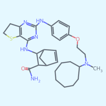 CN(CCOc1ccc(Nc2nc3c(c(NC4C5C=CC(C5)C4C(N)=O)n2)SCC3)cc1)C1CCCCCCC1